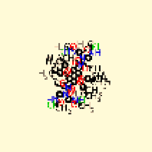 C=C(Cl)C(=O)Nc1cccc(N(C(=O)C(CCCC)N2C(=O)c3cc(Oc4ccc(C(C)(C)C)cc4)c4c5c(Oc6ccc(C(C)(C)C)cc6)cc6c7c(cc(Oc8ccc(C(C)(C)C)cc8)c(c8c(Oc9ccc(C(C)(C)C)cc9)cc(c3c48)C2=O)c75)C(=O)N(C(CCCC)C(=O)N(c2cccc(NC(=O)C(=C)Cl)c2)c2cccc(NC(=O)C(=C)Cl)c2)C6=O)c2cccc(NC(=O)C(=C)Cl)c2)c1